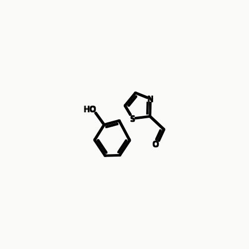 O=Cc1nccs1.Oc1ccccc1